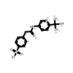 CCS(=O)(=O)c1ccc(CC(=O)Nc2ccc(C(O)(C(F)(F)F)C(F)(F)F)nc2)cc1